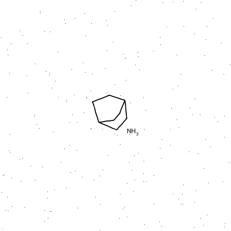 C1CC2CCC1CC2.N